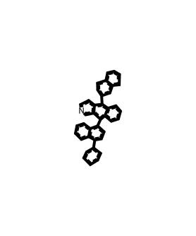 c1ccc(-c2ccc(-c3c4ccccc4c(-c4ccc5ccccc5c4)c4ccncc34)c3ccccc23)cc1